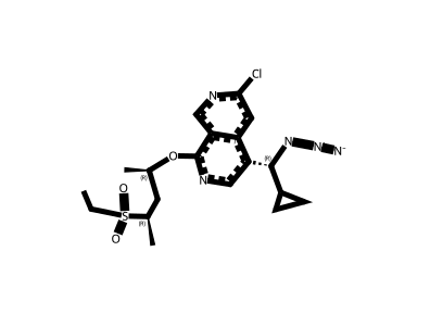 CCS(=O)(=O)[C@H](C)C[C@@H](C)Oc1ncc([C@H](N=[N+]=[N-])C2CC2)c2cc(Cl)ncc12